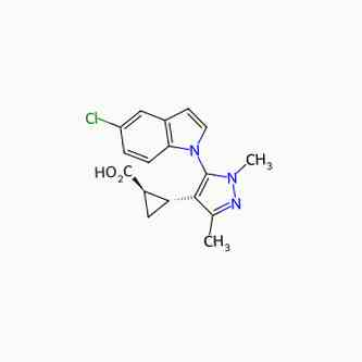 Cc1nn(C)c(-n2ccc3cc(Cl)ccc32)c1[C@@H]1C[C@H]1C(=O)O